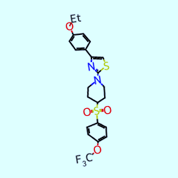 CCOc1ccc(-c2csc(N3CCC(S(=O)(=O)c4ccc(OC(F)(F)F)cc4)CC3)n2)cc1